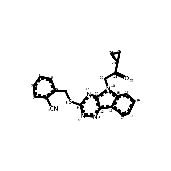 N#Cc1ccccc1CSc1nnc2c3ccccc3n(CC(=O)C3CC3)c2n1